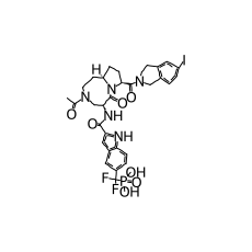 CC(=O)N1CC[C@H]2CC[C@@H](C(=O)N3CCc4cc(I)ccc4C3)N2C(=O)[C@@H](NC(=O)c2cc3cc(C(F)(F)P(=O)(O)O)ccc3[nH]2)C1